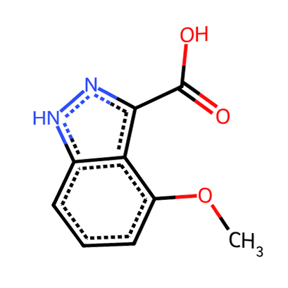 COc1cccc2[nH]nc(C(=O)O)c12